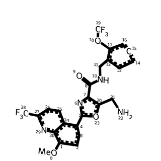 COc1ccc(-c2nc(C(=O)NCc3ccccc3OC(F)(F)F)c(CN)o2)c2ccc(C(F)(F)F)nc12